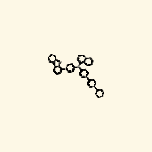 c1ccc(-c2ccc(-c3ccc(N(c4ccc(-c5cccc6c5oc5ccccc56)cc4)c4cccc5ccccc45)cc3)cc2)cc1